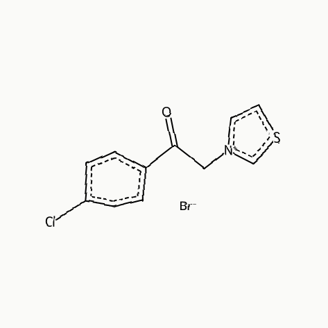 O=C(C[n+]1ccsc1)c1ccc(Cl)cc1.[Br-]